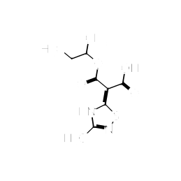 CCC(C)OC(=O)C(C(=O)O)=C1NC(C)=NS1